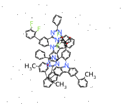 Cc1cc(-c2ccc3c4ccccc4n(-c4ccc(-c5cccc(F)c5F)cc4-c4nc(-c5ccccc5)nc(-c5ccccc5)n4)c3c2)cc(-c2cccc(C)c2-c2ccc3c(c2)c2cc(-c4ccccc4C)ccc2n3-c2ccc(-c3cccc(F)c3F)cc2-c2nc(-c3ccccc3)nc(-c3ccccc3)n2)c1